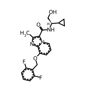 Cc1nc2c(OCc3c(F)cccc3F)cccn2c1C(=O)N[C@@H](CO)C1CC1